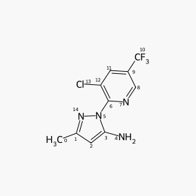 Cc1cc(N)n(-c2ncc(C(F)(F)F)cc2Cl)n1